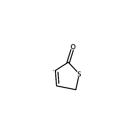 O=C1[C]=CCS1